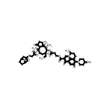 C=C[C@@]1(C)C[C@H](OC(=O)CSC2CC3CCC(C2)N3C)[C@@](C)(C(C)CC)C2C(=O)CCC2(C)[C@H](C)[C@H]1OC(=O)CCOC(=O)c1cn2c3c(c(N4CCC(O)CC4)c(F)cc3c1=O)CCC2C